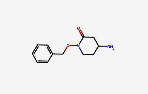 NC1CCN(OCc2ccccc2)C(=O)C1